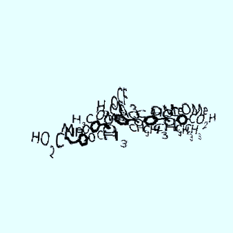 COc1c(C)c(OC)c(C(=O)Oc2cc(C)c(C(=O)Oc3c(C)c(C)c(C(=O)Oc4c(C)c(C)c(C(=O)O)c(OC)c4C)c(OC)c3C)c(OC(=O)C(F)(F)F)c2C)c(C)c1Oc1ccc(CC(N)C(=O)O)cc1